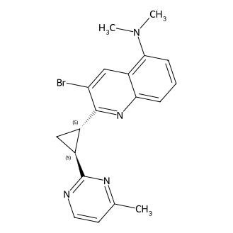 Cc1ccnc([C@H]2C[C@@H]2c2nc3cccc(N(C)C)c3cc2Br)n1